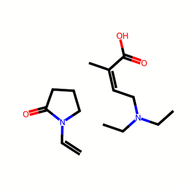 C=CN1CCCC1=O.CCN(CC)CC=C(C)C(=O)O